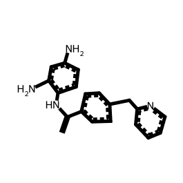 C=C(Nc1ccc(N)cc1N)c1ccc(Cc2ccccn2)cc1